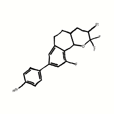 CCCc1ccc(-c2cc(F)c3c(c2)CCC2CC(CC)C(F)(F)OC32)cc1